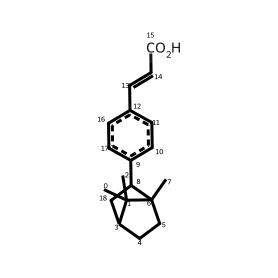 CC1(C)C2CCC1(C)C(c1ccc(C=CC(=O)O)cc1)C2